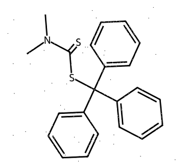 CN(C)C(=S)SC(c1ccccc1)(c1ccccc1)c1ccccc1